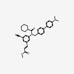 COC(=O)/C=C/c1cc(C#N)cc(N(Cc2ccc(-c3ccc(N(C)C)cc3)cc2)C(=O)C2CCCCC2)c1